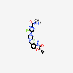 CNC(=O)c1ncc(N2CCN(Cc3ccc4c(c3F)NC(=O)[C@H](C3CC3)O4)CC2)c(F)n1